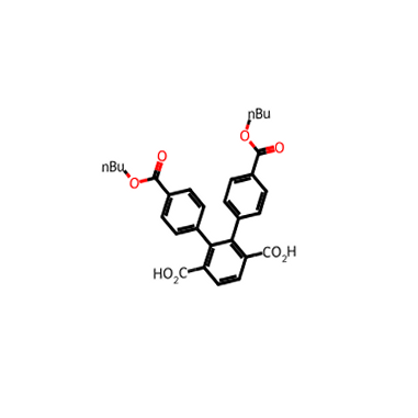 CCCCOC(=O)c1ccc(-c2c(C(=O)O)ccc(C(=O)O)c2-c2ccc(C(=O)OCCCC)cc2)cc1